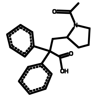 CC(=O)N1CCCC1CC(C(=O)O)(c1ccccc1)c1ccccc1